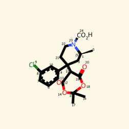 C[C@H]1CC(c2cccc(Cl)c2)(C2C(=O)OC(C)(C)OC2=O)CCN1C(=O)O